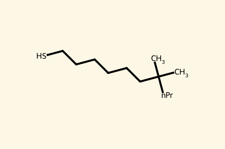 CCCC(C)(C)CCCCCCS